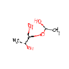 CC(O)OC(O)C(C)O